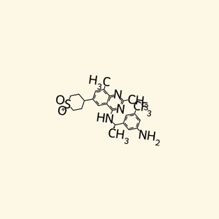 Cc1nc(N[C@H](C)c2cc(N)cc(C(F)(F)F)c2)c2cc(C3CCS(=O)(=O)CC3)cc(C)c2n1